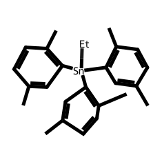 C[CH2][Sn]([c]1cc(C)ccc1C)([c]1cc(C)ccc1C)[c]1cc(C)ccc1C